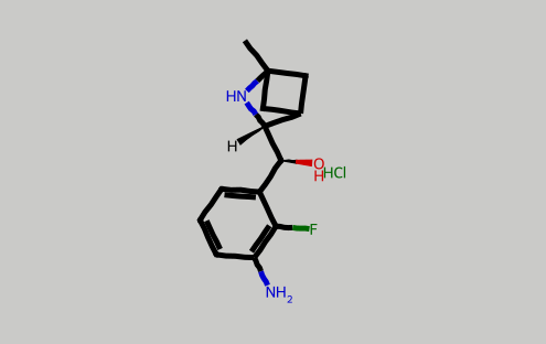 CC12CC(C1)[C@H]([C@@H](O)c1cccc(N)c1F)N2.Cl